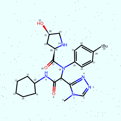 Cn1cnnc1C(C(=O)NC1CCCCC1)N(C(=O)[C@H]1C[C@@H](O)CN1)c1ccc(C(C)(C)C)cc1